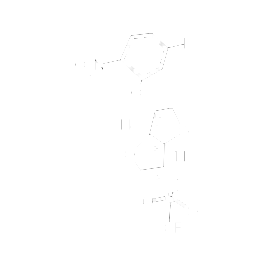 O=[N+]([O-])c1ccc(F)cc1O[C@@H]1CO[C@@H]2[C@H]1OC[C@H]2OS(=O)(=O)C(F)(F)F